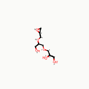 OCC(O)COCC(CO)OCC1CO1